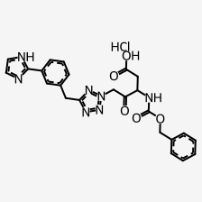 Cl.O=C(O)CC(NC(=O)OCc1ccccc1)C(=O)Cn1nnc(Cc2cccc(-c3ncc[nH]3)c2)n1